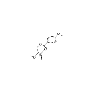 COc1ccc(C2OCC(OC)[C@H](C)O2)cc1